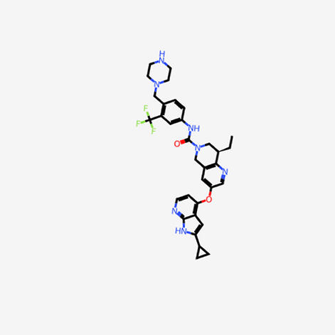 CC[C@@H]1CN(C(=O)Nc2ccc(CN3CCNCC3)c(C(F)(F)F)c2)Cc2cc(Oc3ccnc4[nH]c(C5CC5)cc34)cnc21